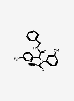 C#CC(=O)N(c1cccc(O)c1)C(C(=O)NCc1ccccc1)c1ccc(N)cc1